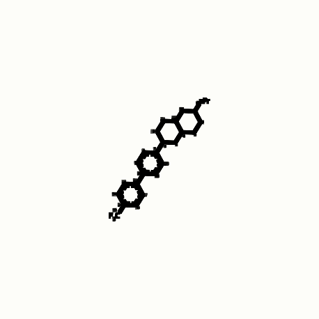 CCCC1CCC2CC(c3ccc(-c4ccc(C(F)(F)F)cc4)cc3)CCC2C1